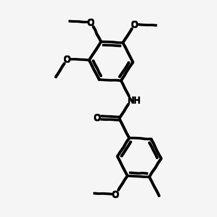 COc1cc(C(=O)Nc2cc(OC)c(OC)c(OC)c2)ccc1C